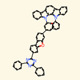 c1ccc(-c2nc(-c3ccccc3)nc(-c3ccc4c(c3)oc3cc(-c5cccc(-n6c7ccccc7c7ccc8c9ccccc9n(-c9ccccc9)c8c76)c5)ccc34)n2)cc1